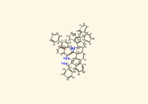 N=C(/C(=C1\NC(c2ccccc2)=C(N(c2ccc(-c3ccccc3)cc2)c2ccc3c(c2)C(c2ccccc2)(c2ccccc2)c2ccccc2-3)c2ccccc21)c1ccccc1)c1ccccc1